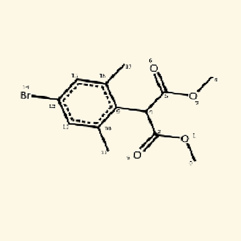 COC(=O)C(C(=O)OC)c1c(C)cc(Br)cc1C